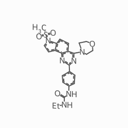 CCNC(=O)Nc1ccc(-c2nc(N3CCOCC3)c3ccc4c(ccn4S(C)(=O)=O)c3n2)cc1